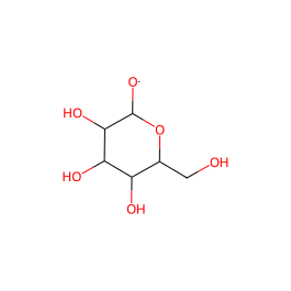 [O]C1OC(CO)C(O)C(O)C1O